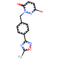 O=c1ccc(Br)nn1Cc1ccc(-c2noc(C(F)(F)F)n2)cc1